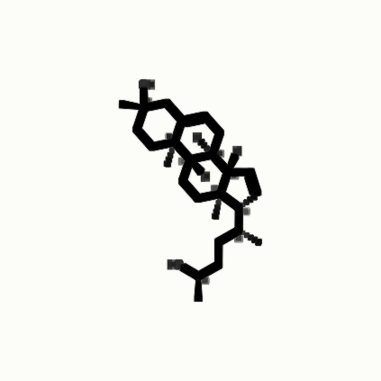 C[C@H](CC[C@@H](C)O)[C@H]1C=C[C@H]2[C@@H]3CC=C4C[C@@](C)(O)CC[C@]4(C)[C@H]3CC[C@]12C